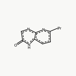 CC(C)c1ccc2[nH]c(=O)cnc2n1